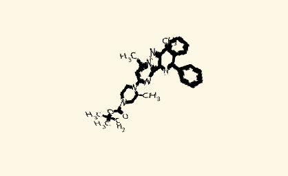 CCc1nn2c(C)cc(N3CCN(C(=O)OC(C)(C)C)C[C@@H]3C)nc2c1N=C(c1ccccc1)c1ccccc1